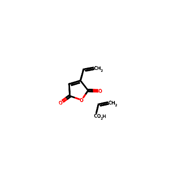 C=CC(=O)O.C=CC1=CC(=O)OC1=O